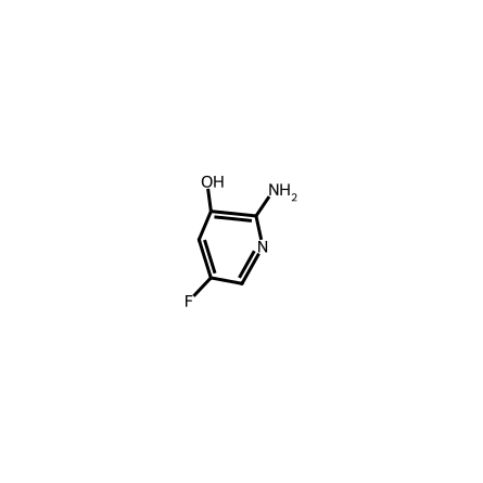 Nc1ncc(F)cc1O